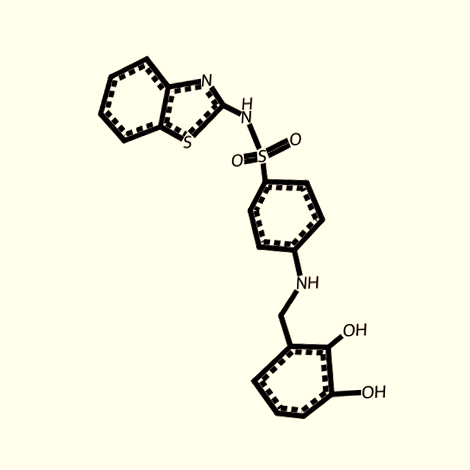 O=S(=O)(Nc1nc2ccccc2s1)c1ccc(NCc2cccc(O)c2O)cc1